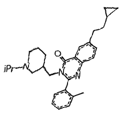 Cc1ccccc1-c1nc2ccc(CCC3CC3)cc2c(=O)n1CC1CCCN(C(C)C)C1